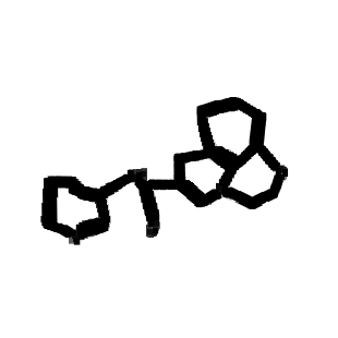 O=C(Nc1cccnc1)C1=CN2CCOc3cccc(c32)C1